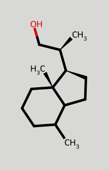 CC1CCC[C@@]2(C)C1CC[C@@H]2[C@H](C)CO